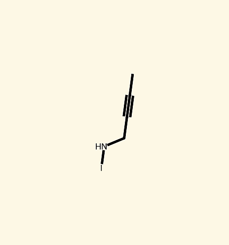 CC#CCNI